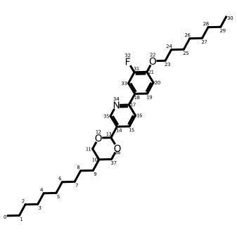 CCCCCCCCCCC1COC(c2ccc(-c3ccc(OCCCCCCCC)c(F)c3)nc2)OC1